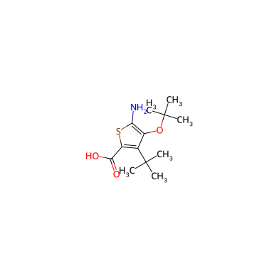 CC(C)(C)Oc1c(N)sc(C(=O)O)c1C(C)(C)C